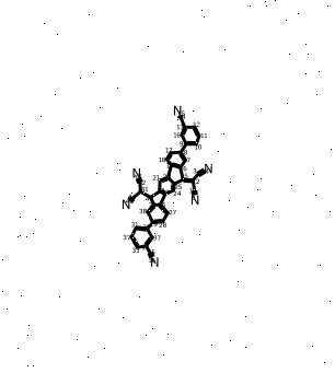 N#CC(C#N)=C1c2cc(-c3cccc(C#N)c3)ccc2-c2cc3c(cc21)-c1ccc(-c2cccc(C#N)c2)cc1C3C(C#N)C#N